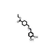 CCOC(=O)C1CCC(C/N=C/c2ccc(O)c(O)c2)CC1